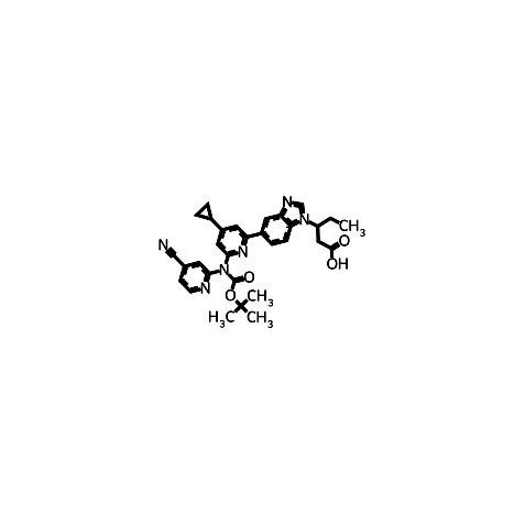 CCC(CC(=O)O)n1cnc2cc(-c3cc(C4CC4)cc(N(C(=O)OC(C)(C)C)c4cc(C#N)ccn4)n3)ccc21